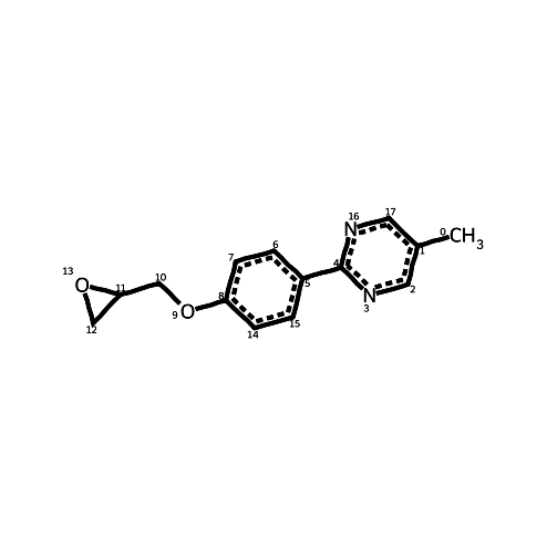 Cc1cnc(-c2ccc(OCC3CO3)cc2)nc1